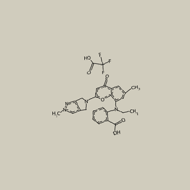 CCN(c1ccccc1C(=O)O)c1cc(C)cc2c(=O)cc(N3Cc4cn(C)nc4C3)oc12.O=C(O)C(F)(F)F